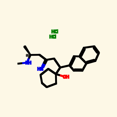 CN[C@@H](C)CC(=N)CC(c1ccc2ccccc2c1)C1(O)CCCCC1.Cl.Cl